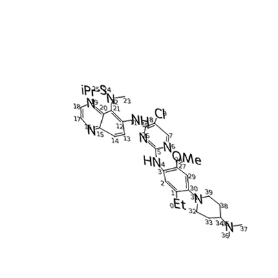 CCc1cc(Nc2ncc(Cl)c(Nc3ccc4nccnc4c3N(C)SC(C)C)n2)c(OC)cc1N1CCC(N(C)C)CC1